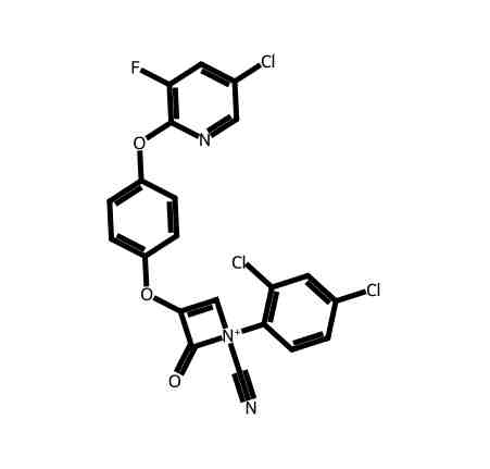 N#C[N+]1(c2ccc(Cl)cc2Cl)C=C(Oc2ccc(Oc3ncc(Cl)cc3F)cc2)C1=O